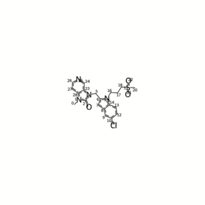 Cn1c(=O)n(Cc2cc3cc(Cl)ccc3n2CCCS(C)(=O)=O)c2cnccc21